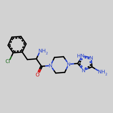 Nc1n[nH]c(N2CCN(C(=O)C(N)Cc3ccccc3Cl)CC2)n1